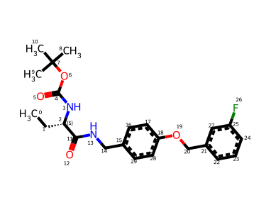 CC[C@H](NC(=O)OC(C)(C)C)C(=O)NCc1ccc(OCc2cccc(F)c2)cc1